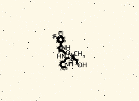 Cc1nc(C(NC(=O)c2ccc(-c3ccc(Cl)c(F)c3)[nH]2)C2CCCCN2)sc1CCO